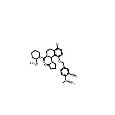 CN(N)c1ccc(COc2ccc(Cl)c3c2C(N2CCCC2=O)N(C(=O)[C@@H]2CCCCC2C(=O)O)CC3)cc1N